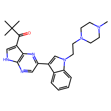 CN1CCN(CCn2cc(-c3cnc4[nH]cc(C(=O)C(C)(C)C)c4n3)c3ccccc32)CC1